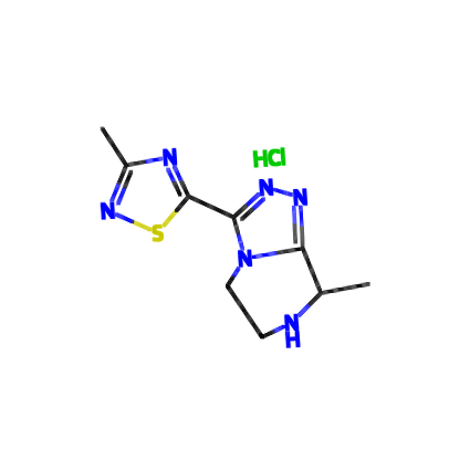 Cc1nsc(-c2nnc3n2CCNC3C)n1.Cl